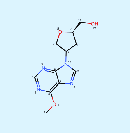 COc1ncnc2c1ncn2C1CO[C@@H](CO)C1